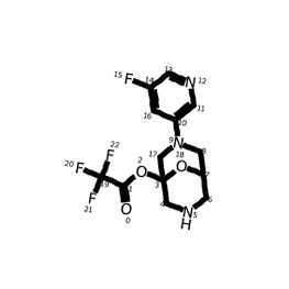 O=C(OC12CNCC(CN(c3cncc(F)c3)C1)O2)C(F)(F)F